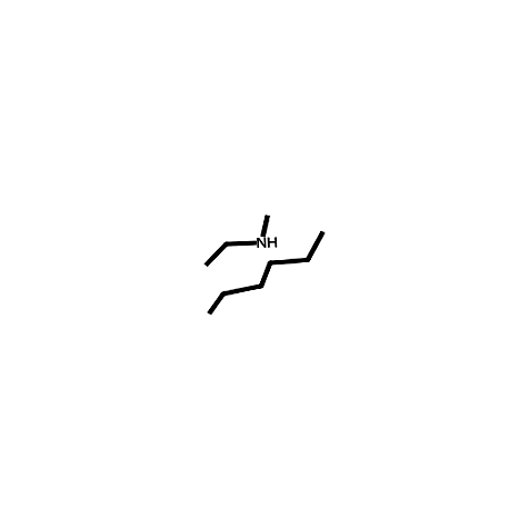 CCCCCC.CCNC